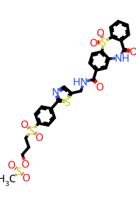 CS(=O)(=O)OCCCS(=O)(=O)c1ccc(-c2ncc(CNC(=O)c3ccc4c(c3)NC(=O)c3ccccc3S4(=O)=O)s2)cc1